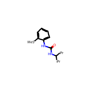 CSc1ccccc1NC(=O)NC(C(C)C)C(C)C